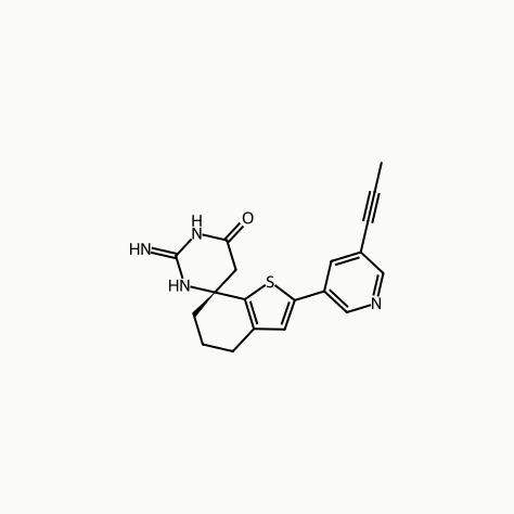 CC#Cc1cncc(-c2cc3c(s2)[C@@]2(CCC3)CC(=O)NC(=N)N2)c1